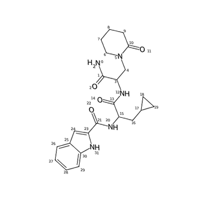 NC(=O)C(CN1CCCCC1=O)NC(=O)C(CC1CC1)NC(=O)c1cc2ccccc2[nH]1